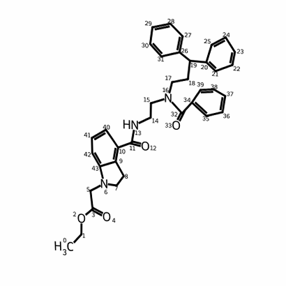 CCOC(=O)CN1CCc2c(C(=O)NCCN(CCC(c3ccccc3)c3ccccc3)C(=O)c3ccccc3)cccc21